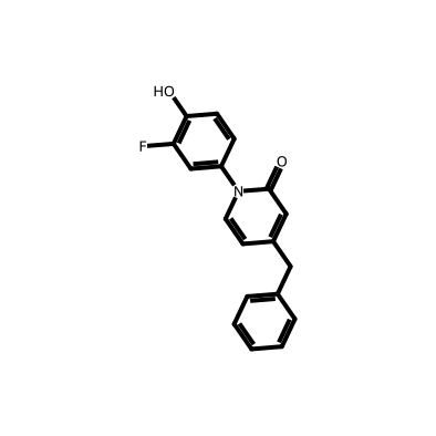 O=c1cc(Cc2ccccc2)ccn1-c1ccc(O)c(F)c1